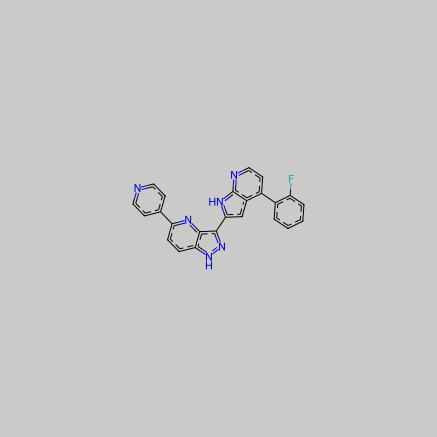 Fc1ccccc1-c1ccnc2[nH]c(-c3n[nH]c4ccc(-c5ccncc5)nc34)cc12